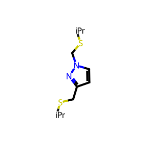 CC(C)SCc1ccn(CSC(C)C)n1